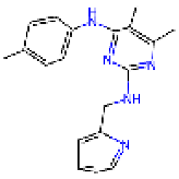 Cc1ccc(Nc2nc(NCc3ccccn3)nc(C)c2C)cc1